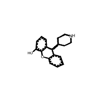 Oc1cccc2c1Oc1ccccc1C2=C1CCNCC1